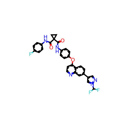 O=C(Nc1ccc(F)cc1)C1(C(=O)Nc2ccc(Oc3ccnc4cc(-c5cnn(C(F)F)c5)ccc34)cc2)CC1